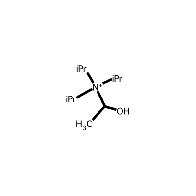 CC(C)[N+](C(C)C)(C(C)C)C(C)O